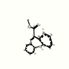 COC(=O)C1=Cc2ccccc2Oc2cccnc21